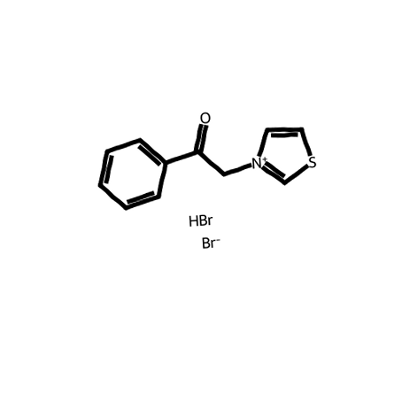 Br.O=C(C[n+]1ccsc1)c1ccccc1.[Br-]